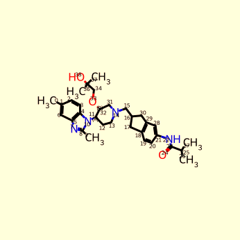 Cc1ccc2c(c1)nc(C)n2[C@@H]1CCN(CC2Cc3ccc(NC(=O)C(C)C)cc3C2)C[C@H]1OCC(C)(C)O